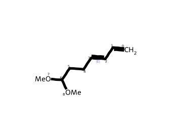 C=C/C=C/CCC(OC)OC